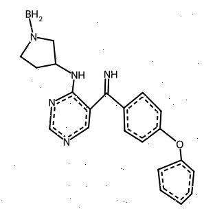 BN1CCC(Nc2ncncc2C(=N)c2ccc(Oc3ccccc3)cc2)C1